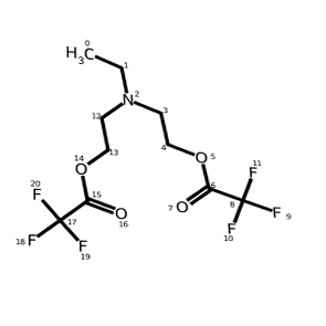 CCN(CCOC(=O)C(F)(F)F)CCOC(=O)C(F)(F)F